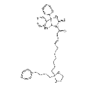 CC(C)C1N(C(=O)CC=CCCCCCCC2(CCCCc3ccccc3)OCCO2)C(=S)OC1(c1ccccc1)c1ccccc1